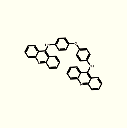 c1ccc2c(Nc3ccc(Oc4ccc(Nc5c6ccccc6nc6ccccc56)cc4)cc3)c3ccccc3nc2c1